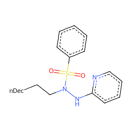 CCCCCCCCCCCCN(Nc1ccccn1)S(=O)(=O)c1ccccc1